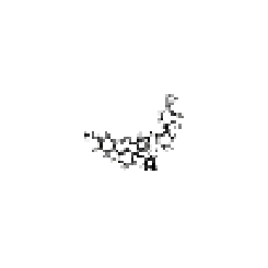 CCc1ccc(-c2cccc3c2C=C(C)[CH]3[Zr+2]2([CH]3C(C)=Cc4c(-c5ccc(CC)cc5)cccc43)[CH2][CH2]2)cc1.[Cl-].[Cl-]